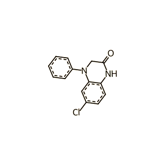 O=C1CN(c2ccccc2)c2cc(Cl)ccc2N1